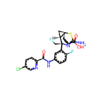 NC1=N[C@](CF)(c2cc(NC(=O)c3ccc(Cl)cn3)ccc2F)[C@@H]2C[C@]2(C=CC(=O)O)S1